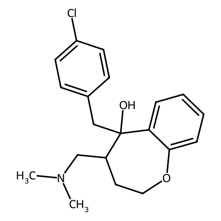 CN(C)CC1CCOc2ccccc2C1(O)Cc1ccc(Cl)cc1